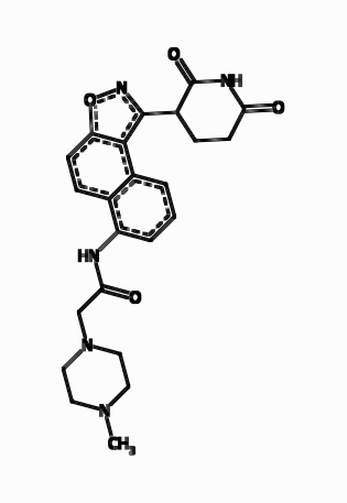 CN1CCN(CC(=O)Nc2cccc3c2ccc2onc(C4CCC(=O)NC4=O)c23)CC1